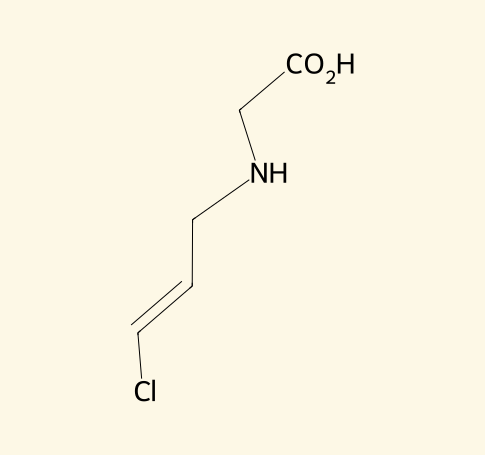 O=C(O)CNC/C=C/Cl